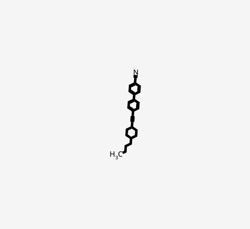 CCCCC1CCC(C#Cc2ccc(-c3ccc(C#N)cc3)cc2)CC1